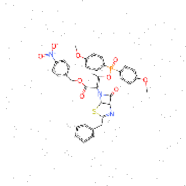 COc1ccc(P(=O)(OC(C)=C(C(=O)OCc2ccc([N+](=O)[O-])cc2)N2C(=O)C3N=C(Cc4ccccc4)SC32)c2ccc(OC)cc2)cc1